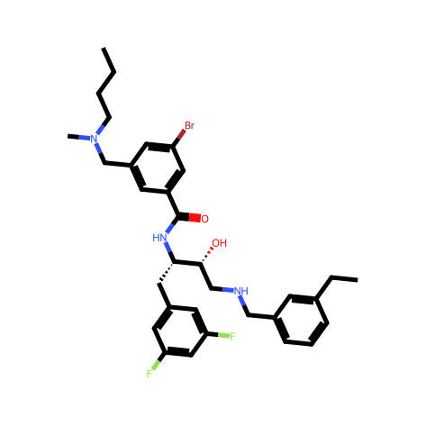 CCCCN(C)Cc1cc(Br)cc(C(=O)N[C@@H](Cc2cc(F)cc(F)c2)[C@H](O)CNCc2cccc(CC)c2)c1